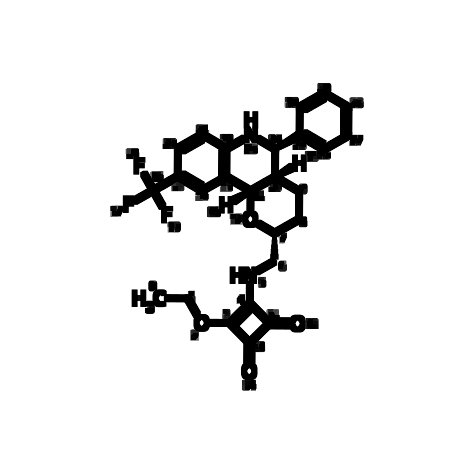 CCOc1c(NC[C@H]2CC[C@@H]3[C@H](O2)c2cc(C(F)(F)F)ccc2N[C@H]3c2ccccc2)c(=O)c1=O